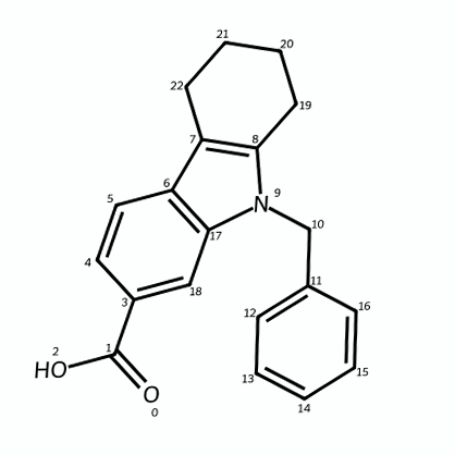 O=C(O)c1ccc2c3c(n(Cc4ccccc4)c2c1)CCCC3